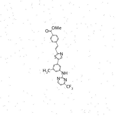 COC(=O)c1ccc(C=Cc2ncc(-c3cc(C)cc(Nc4nccc(C(F)(F)F)n4)c3)s2)cc1